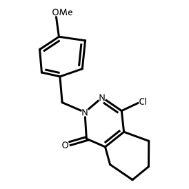 COc1ccc(Cn2nc(Cl)c3c(c2=O)CCCC3)cc1